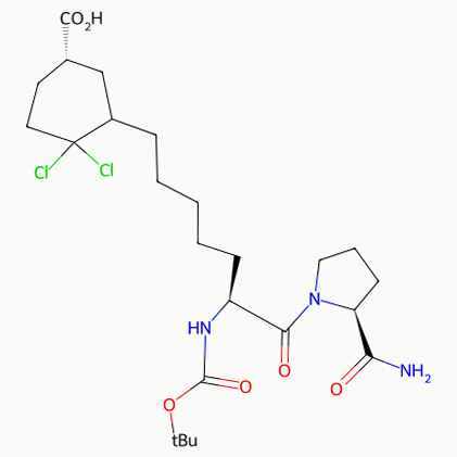 CC(C)(C)OC(=O)N[C@@H](CCCCCC1C[C@@H](C(=O)O)CCC1(Cl)Cl)C(=O)N1CCC[C@H]1C(N)=O